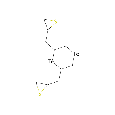 C1SC1CC1C[Te]CC(CC2CS2)[Te]1